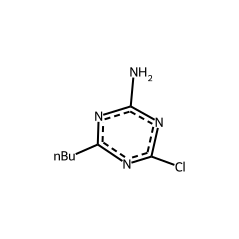 CCCCc1nc(N)nc(Cl)n1